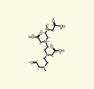 CN(CC=O)CCN(CCN(CCN(C)CC(=O)O)CC(=O)O)CC(=O)O